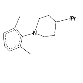 Cc1cccc(C)c1N1CCC(C(C)C)CC1